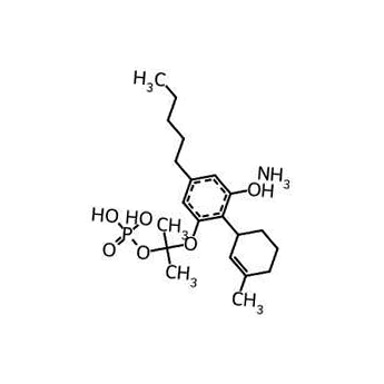 CCCCCc1cc(O)c(C2C=C(C)CCC2)c(OC(C)(C)OP(=O)(O)O)c1.N